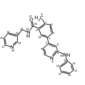 Cc1ccc(-c2ccnc(Nc3ccccc3)c2)cc1C(=O)NCc1cccnc1